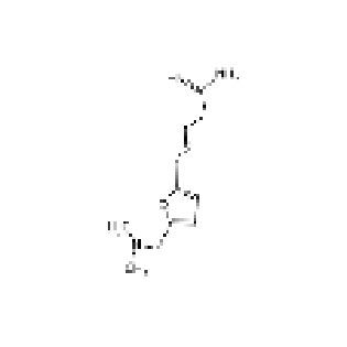 CN(C)Cc1ccc(CSCCC(=N)N)o1